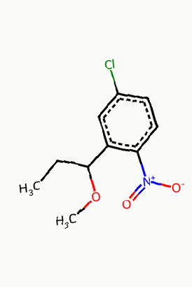 CCC(OC)c1cc(Cl)ccc1[N+](=O)[O-]